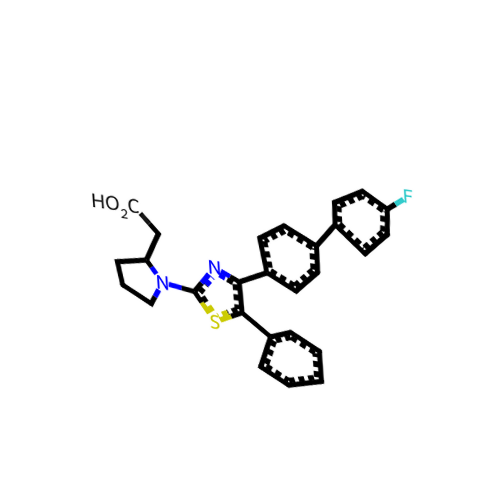 O=C(O)CC1CCCN1c1nc(-c2ccc(-c3ccc(F)cc3)cc2)c(-c2ccccc2)s1